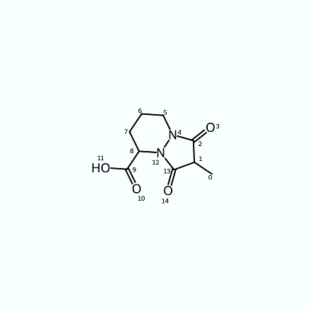 CC1C(=O)N2CCCC(C(=O)O)N2C1=O